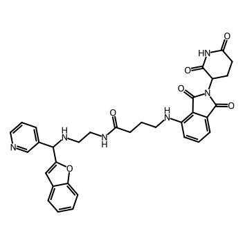 O=C(CCCNc1cccc2c1C(=O)N(C1CCC(=O)NC1=O)C2=O)NCCNC(c1cccnc1)c1cc2ccccc2o1